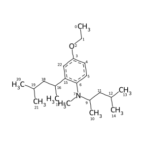 CCOc1ccc(N(C)C(C)CC(C)C)c(C(C)CC(C)C)c1